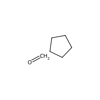 C1CCCC1.C=O